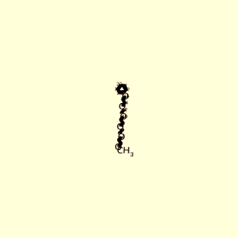 COCCOCCOCCOCCOCCOc1ccccc1